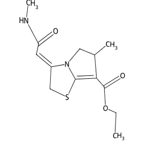 CCOC(=O)C1=C2SCC(=CC(=O)NC)N2CC1C